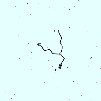 C#CCN(CCCO)CCCO